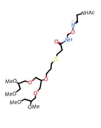 COCC(COCC(COCC(COC)OC)OCCCSCCC(=O)NCO/N=C/CNC(C)=O)OC